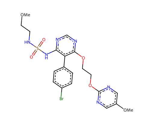 COCCNS(=O)(=O)Nc1ncnc(OCCOc2ncc(OC)cn2)c1-c1ccc(Br)cc1